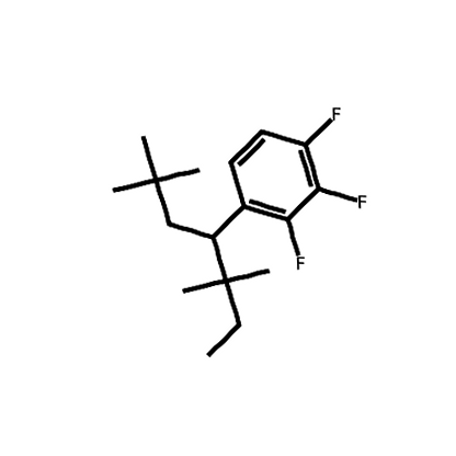 CCC(C)(C)C(CC(C)(C)C)c1ccc(F)c(F)c1F